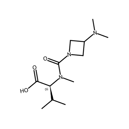 CC(C)[C@@H](C(=O)O)N(C)C(=O)N1CC(N(C)C)C1